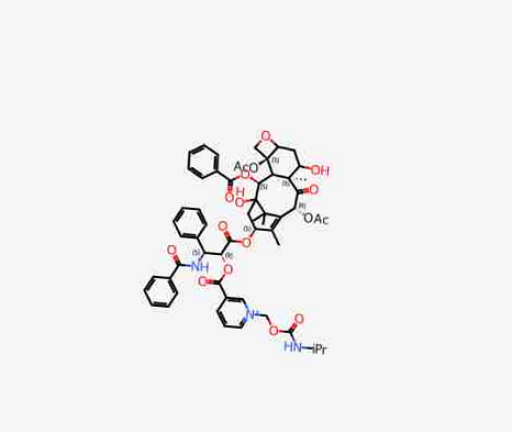 CC(=O)O[C@H]1C(=O)[C@]2(C)C(O)CC3OC[C@@]3(OC(C)=O)C2[C@H](OC(=O)c2ccccc2)C2(O)C[C@H](OC(=O)[C@H](OC(=O)c3ccc[n+](COC(=O)NC(C)C)c3)[C@@H](NC(=O)c3ccccc3)c3ccccc3)C(C)=C1C2(C)C